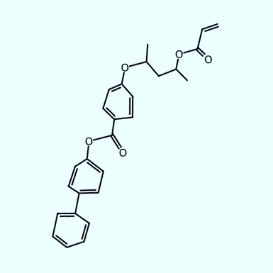 C=CC(=O)OC(C)CC(C)Oc1ccc(C(=O)Oc2ccc(-c3ccccc3)cc2)cc1